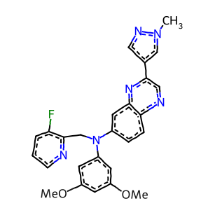 COc1cc(OC)cc(N(Cc2ncccc2F)c2ccc3ncc(-c4cnn(C)c4)nc3c2)c1